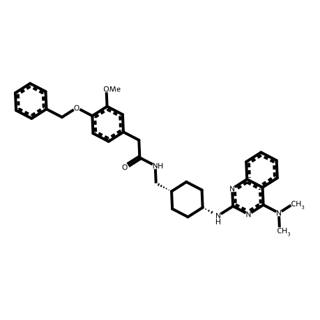 COc1cc(CC(=O)NC[C@H]2CC[C@@H](Nc3nc(N(C)C)c4ccccc4n3)CC2)ccc1OCc1ccccc1